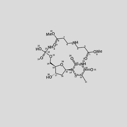 COC(=O)CCNCCC(=O)OC.Cc1cn([C@H]2C[C@H](O)[C@@H](COP(N)(=O)O)O2)c(=O)[nH]c1=O